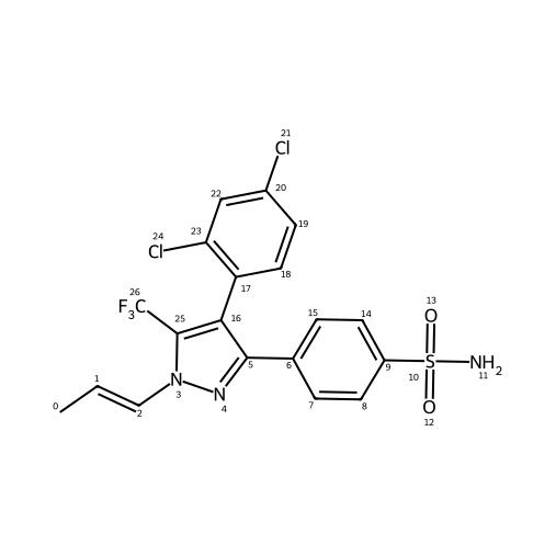 CC=Cn1nc(-c2ccc(S(N)(=O)=O)cc2)c(-c2ccc(Cl)cc2Cl)c1C(F)(F)F